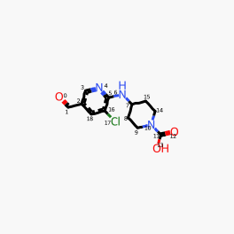 O=Cc1cnc(NC2CCN(C(=O)O)CC2)c(Cl)c1